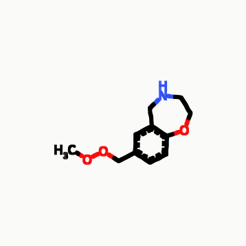 COOCc1ccc2c(c1)CNCCO2